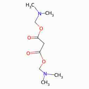 CN(C)COC(=O)CC(=O)OCN(C)C